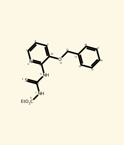 CCOC(=O)NC(=S)Nc1ncccc1OCc1ccccc1